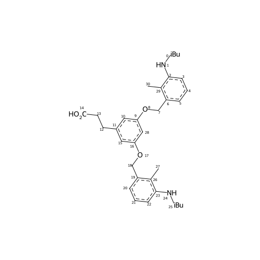 CCC(C)Nc1cccc(COc2cc(CCC(=O)O)cc(OCc3cccc(NC(C)CC)c3C)c2)c1C